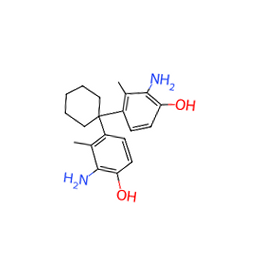 Cc1c(C2(c3ccc(O)c(N)c3C)CCCCC2)ccc(O)c1N